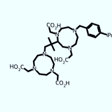 CC(C)c1ccc(CN2CCN(CC(=O)O)CC(C(C)(C)CN3CCN(CC(=O)O)CCN(CC(=O)O)CC3)N(CC(=O)O)CC2)cc1